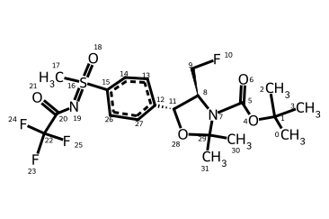 CC(C)(C)OC(=O)N1[C@H](CF)[C@@H](c2ccc(S(C)(=O)=NC(=O)C(F)(F)F)cc2)OC1(C)C